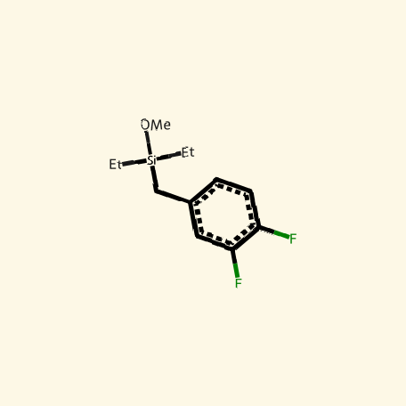 CC[Si](CC)(Cc1ccc(F)c(F)c1)OC